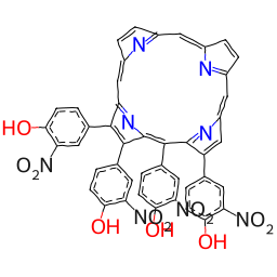 O=[N+]([O-])c1cc(C2=CC3=CC4=NC(=CC5=NC(=CC6=NC(=C(c7ccc(O)c([N+](=O)[O-])c7)C2=N3)C(c2ccc(O)c([N+](=O)[O-])c2)=C6c2ccc(O)c([N+](=O)[O-])c2)C=C5)C=C4)ccc1O